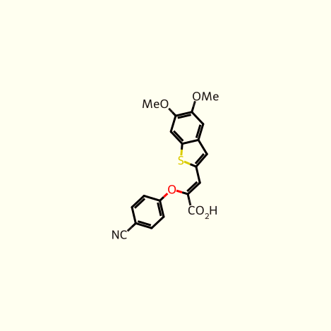 COc1cc2cc(C=C(Oc3ccc(C#N)cc3)C(=O)O)sc2cc1OC